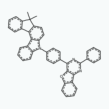 CC1(C)c2ccccc2-c2c1ccc1c2c2ccccc2n1-c1ccc(-c2nc(-c3ccccc3)nc3c2oc2ccccc23)cc1